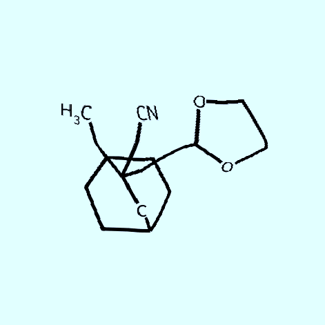 CC12CCC(CC1)CC2(C#N)C1OCCO1